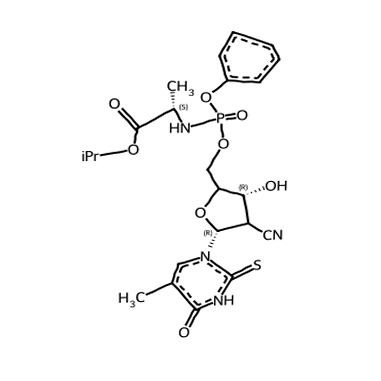 Cc1cn([C@@H]2OC(COP(=O)(N[C@@H](C)C(=O)OC(C)C)Oc3ccccc3)[C@H](O)C2C#N)c(=S)[nH]c1=O